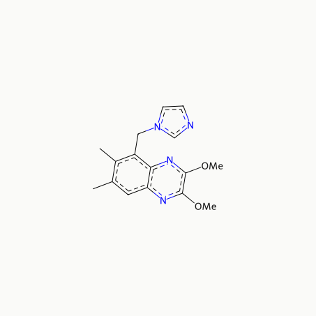 COc1nc2cc(C)c(C)c(Cn3ccnc3)c2nc1OC